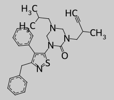 C#CC(C)CN1CN(CC(C)C)CN(c2snc(Cc3ccccc3)c2-c2ccccc2)C1=O